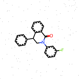 O=C1c2ccccc2C(c2ccccc2)CN1c1cccc(F)c1